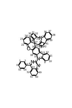 c1ccc(-c2nc(-n3c4ccccc4c4cc5c(cc43)Oc3ccccc3C53c4ccccc4-n4c5ccccc5c5cccc3c54)nc3ccccc23)cc1